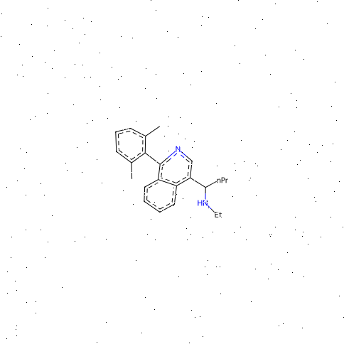 CCCC(NCC)c1cnc(-c2c(C)cccc2C)c2ccccc12